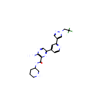 Nc1ncc(-c2ccnc(-c3cnn(CC(F)(F)F)c3)c2)nc1C(=O)NC1CCCNC1